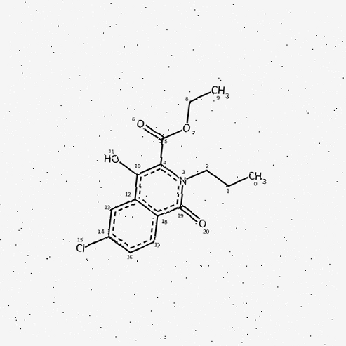 CCCn1c(C(=O)OCC)c(O)c2cc(Cl)ccc2c1=O